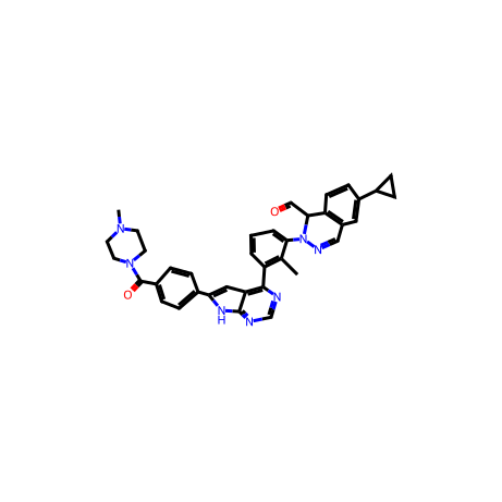 Cc1c(-c2ncnc3[nH]c(-c4ccc(C(=O)N5CCN(C)CC5)cc4)cc23)cccc1N1N=Cc2cc(C3CC3)ccc2C1C=O